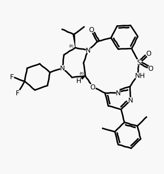 Cc1cccc(C)c1-c1cc2nc(n1)NS(=O)(=O)c1cccc(c1)C(=O)N1C[C@@H](CN(C3CCC(F)(F)CC3)C[C@H]1C(C)C)O2